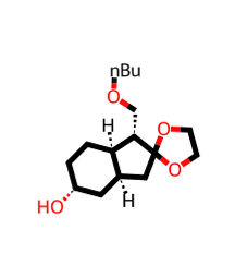 CCCCOC[C@H]1[C@@H]2CC[C@@H](O)C[C@@H]2CC12OCCO2